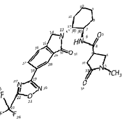 CN1CC(C(=O)N[C@@H]2CCCC[C@H]2N2Cc3ccc(-c4noc(C(F)(F)F)n4)cc3C2=O)CC1=O